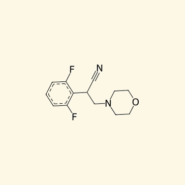 N#CC(CN1CCOCC1)c1c(F)cccc1F